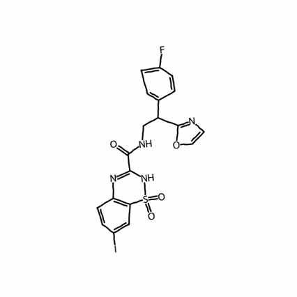 O=C(NCC(c1ccc(F)cc1)c1ncco1)C1=Nc2ccc(I)cc2S(=O)(=O)N1